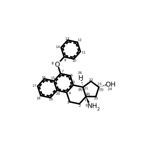 N[C@@]12CCc3c(cc(Oc4ccccc4)c4ccccc34)[C@H]1C[C@H](O)C2